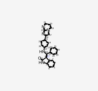 O=C1Nc2ccccc2/C1=C(/Nc1ccc(-c2cn3cccnc3n2)cc1)c1ccccc1